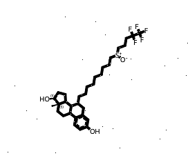 C[C@]12CCC3c4ccc(O)cc4CC(CCCCCCCCC[S+]([O-])CCCC(F)(F)C(F)(F)F)C3C1CC[C@@H]2O